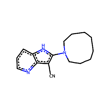 N#Cc1c(N2CCCCCCCC2)[nH]c2cccnc12